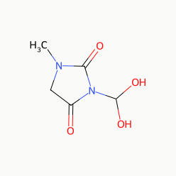 CN1CC(=O)N(C(O)O)C1=O